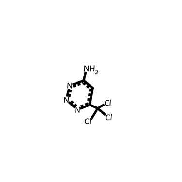 Nc1cc(C(Cl)(Cl)Cl)nnn1